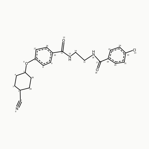 N#CC1CCC(Oc2ccc(C(=O)NCCNC(=O)c3ccc(Cl)cc3)cc2)CC1